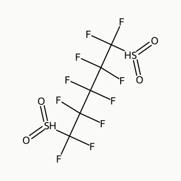 O=[SH](=O)C(F)(F)C(F)(F)C(F)(F)C(F)(F)C(F)(F)[SH](=O)=O